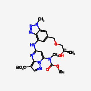 CCOC(=O)c1cnn2c(N(C)C(=O)OC(C)(C)C)cc(Nc3cc(COC[C@@H](C)O)cc4c3nnn4C)nc12